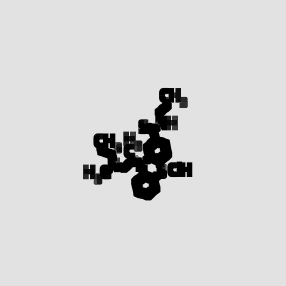 CCCNC(=S)c1ccc2c(c1)N([C@H](C)CN(C)CCC)c1ccccc1S2.Cl